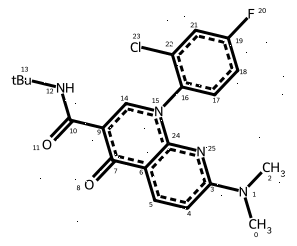 CN(C)c1ccc2c(=O)c(C(=O)NC(C)(C)C)cn(-c3ccc(F)cc3Cl)c2n1